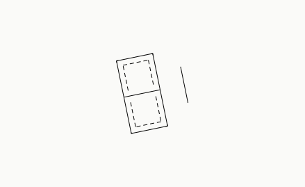 CC.c1cc2ccc1-2